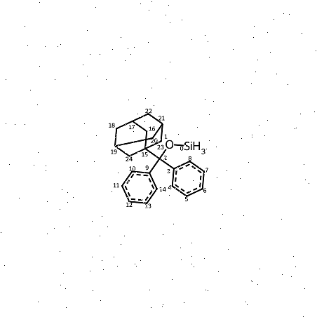 [SiH3]OC(c1ccccc1)(c1ccccc1)C12CC3CC(CC(C3)C1)C2